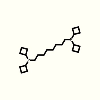 C(CCCCP(C1CCC1)C1CCC1)CCCP(C1CCC1)C1CCC1